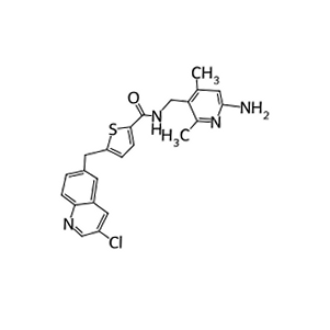 Cc1cc(N)nc(C)c1CNC(=O)c1ccc(Cc2ccc3ncc(Cl)cc3c2)s1